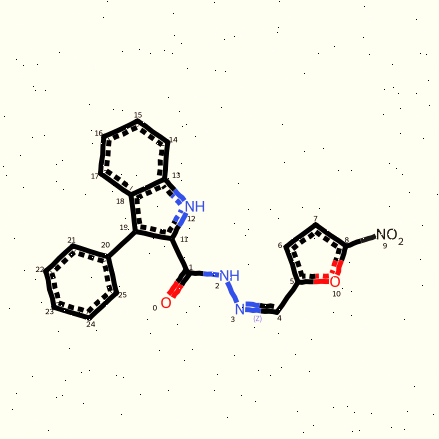 O=C(N/N=C\c1ccc([N+](=O)[O-])o1)c1[nH]c2ccccc2c1-c1ccccc1